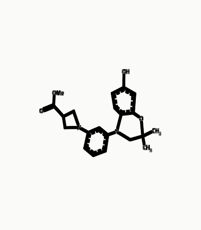 COC(=O)C1CN(c2cccc(N3CC(C)(C)Oc4cc(O)ccc43)c2)C1